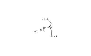 CCCCCCC[CH2][Sn](=[O])[CH2]CCCCCCC.Cl.[AlH3]